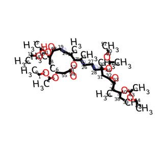 CCOC(C)OC1CCC(C)(OC(C)OCC)C(O)/C=C/C(C)C(/C(C)=C/C=C/C(C)(CC2OC2C(C)C(CC)OC(C)OCC)OC(C)OCC)OC(=O)C1